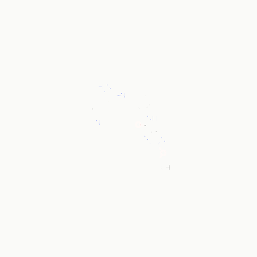 CCOc1cnc(C(=O)Nc2cccc(C/N=C(/N)SCc3cccnc3)c2)cn1